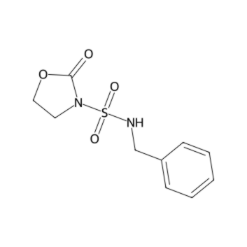 O=C1OCCN1S(=O)(=O)NCc1ccccc1